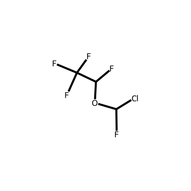 FC(Cl)OC(F)C(F)(F)F